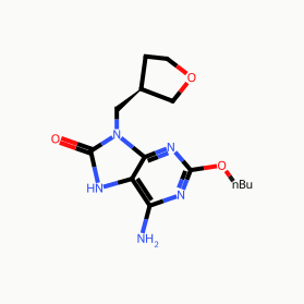 CCCCOc1nc(N)c2[nH]c(=O)n(C[C@H]3CCOC3)c2n1